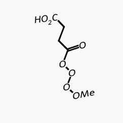 COOOOC(=O)CCC(=O)O